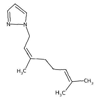 CC(C)=CCCC(C)=CCn1cccn1